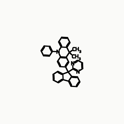 CC1(C)c2ccccc2N(c2ccccc2)c2ccc(C3(c4ncccn4)c4ccccc4-c4ccccc43)cc21